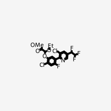 CCOC(Oc1cc(-c2ncc(C(F)C(F)F)cc2Cl)c(F)cc1Cl)C(=O)OC